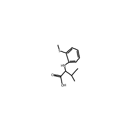 CSc1ccccc1NC(C(=O)O)C(C)C